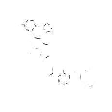 CC(C)(C)[Si](C)(C)OC(Cc1nccc(C(=O)COC(=O)[C@@H]2CCC3CC(c4c(-n5cnnn5)ccc(Cl)c4F)=CC(=O)N32)c1F)C(F)(F)F